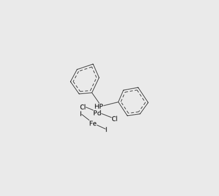 [Cl][Pd][Cl].[I][Fe][I].c1ccc(Pc2ccccc2)cc1